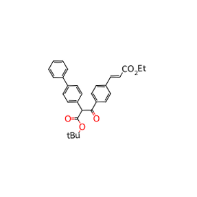 CCOC(=O)C=Cc1ccc(C(=O)C(C(=O)OC(C)(C)C)c2ccc(-c3ccccc3)cc2)cc1